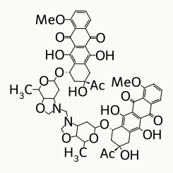 COc1cccc2c1C(=O)c1c(O)c3c(c(O)c1C2=O)C[C@@](O)(C(C)=O)C[C@@H]3OC1CC2C(OCN2CN2COC3C(C)OC(O[C@H]4C[C@](O)(C(C)=O)Cc5c(O)c6c(c(O)c54)C(=O)c4c(OC)cccc4C6=O)CC32)C(C)O1